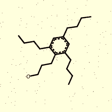 CCCCc1cc(CCCC)c(CCC[O])c(CCCC)c1